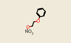 O=[N+]([O-])OCCOc1ccccc1